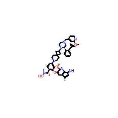 COc1cc(CN2CCN(C3CC4(CCN(c5ccc(C(=O)NO)c(Oc6cc7c(nc6OC)C(=N)C=C7F)c5)CC4)C3)[C@H](c3ccccc3C3CC3)C2)ccn1